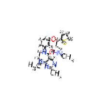 CNCCC(Oc1cccc(N2CCN(C)c3nc(C)ncc3C2=O)c1)c1cccs1